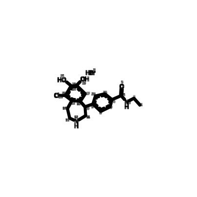 Br.CCNC(=O)c1ccc(C2CNCCc3c2cc(O)c(O)c3Cl)cc1